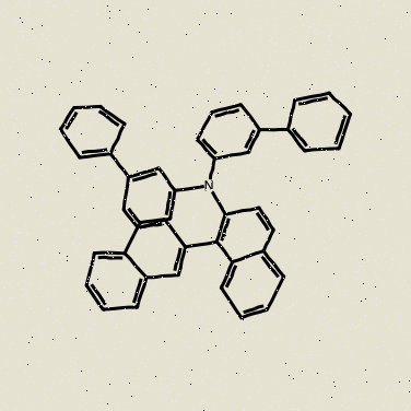 c1ccc(-c2cccc(N(c3cccc(-c4ccccc4)c3)c3ccc4ccccc4c3-c3ccc4ccccc4c3)c2)cc1